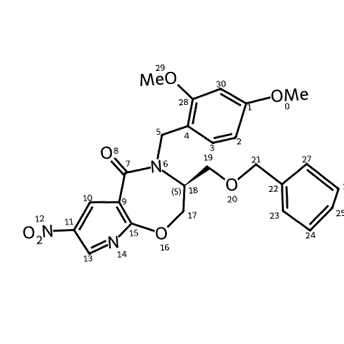 COc1ccc(CN2C(=O)c3cc([N+](=O)[O-])cnc3OC[C@@H]2COCc2ccccc2)c(OC)c1